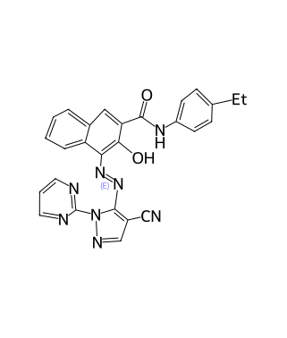 CCc1ccc(NC(=O)c2cc3ccccc3c(/N=N/c3c(C#N)cnn3-c3ncccn3)c2O)cc1